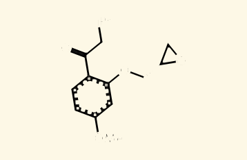 COc1ccc(C(=O)CC(C)C)c(OC[C@@H]2CO2)c1